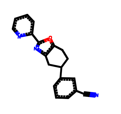 N#Cc1cccc(C2CCc3oc(-c4ccccn4)nc3C2)c1